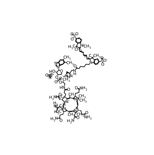 C/C1=C2/[N-][C@H]([C@H](CC(N)=O)[C@@]2(C)CCC(=O)NC[C@@H](C)OP(=O)([O-])O[C@H]2[C@@H](O)[C@@H](n3cnc4cc(C)c(C)cc43)O[C@@H]2Cn2cc(CNC(=O)CCCCCN3/C(=C/C=C/C=C/C4=[N+](C)c5ccc(S(=O)(=O)[O-])cc5C4(C)C)C(C)(C)c4cc(S(=O)(=O)[O-])ccc43)nn2)[C@]2(C)N=C(/C(C)=C3N=C(/C=C4N=C1[C@@H](CCC(N)=O)C\4(C)C)[C@@H](CCC(N)=O)[C@]\3(C)CC(N)=O)[C@@H](CCC(N)=O)[C@]2(C)CC(N)=O.[C-]#N.[Co+3].[Na+]